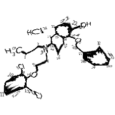 CCCN(CCOc1c(Cl)cccc1Cl)C1CCc2c(ccc(O)c2OCc2ccccc2)C1.Cl